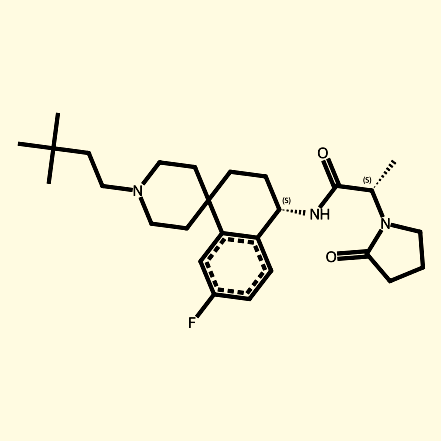 C[C@@H](C(=O)N[C@H]1CCC2(CCN(CCC(C)(C)C)CC2)c2cc(F)ccc21)N1CCCC1=O